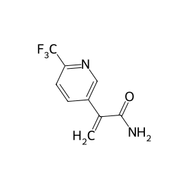 C=C(C(N)=O)c1ccc(C(F)(F)F)nc1